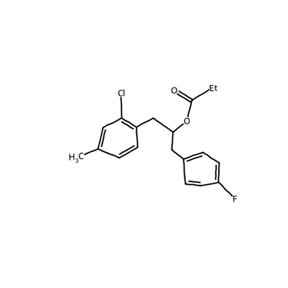 CCC(=O)OC(Cc1ccc(F)cc1)Cc1ccc(C)cc1Cl